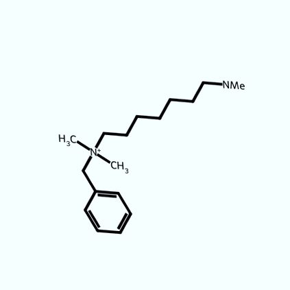 CNCCCCCCC[N+](C)(C)Cc1ccccc1